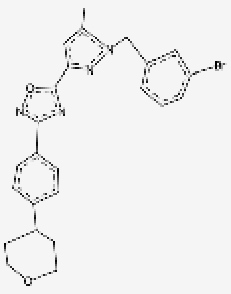 Cc1cc(-c2nc(-c3ccc(C4CCOCC4)cc3)no2)nn1Cc1cccc(Br)c1